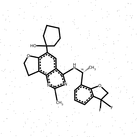 Cc1nc(N[C@H](C)c2cccc3c2OCC3(F)F)c2cc(C3(O)CCCCC3)c3c(c2n1)CCO3